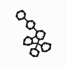 c1ccc(-c2ccc(-c3cccc4c3-c3ccccc3C4(c3ccccc3)c3ccccc3)cc2)cc1